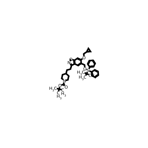 CC(C)(C)OC(=O)N1CCC(CCc2noc3cc(OCC4CC4)c(CO[Si](c4ccccc4)(c4ccccc4)C(C)(C)C)cc23)CC1